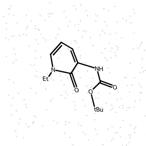 CCn1cccc(NC(=O)OC(C)(C)C)c1=O